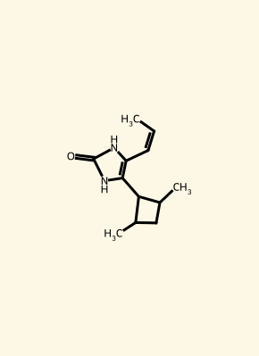 C/C=C\c1[nH]c(=O)[nH]c1C1C(C)CC1C